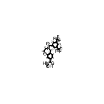 O=C(NO)c1ccc2c(c1)OCCN(C(=O)c1cc(C(F)(F)F)cc(C(F)(F)F)c1)C2